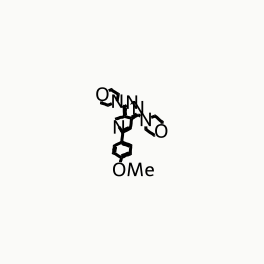 COc1ccc(-c2cc3c(N4CCOCC4)nnc(N4CCOCC4)c3cn2)cc1